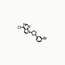 Clc1ncnc2c1ccn2C1CCC(c2cccc(Br)c2)C1